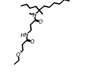 CCCCCCC(C)(CCCC)N(C)C(=O)CCNC(=O)CCOCC